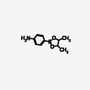 CC1OB(c2ccc(N)cc2)OC1C